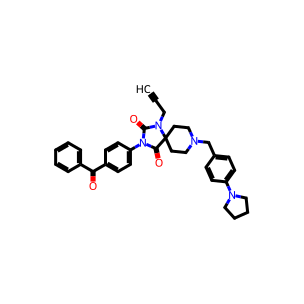 C#CCN1C(=O)N(c2ccc(C(=O)c3ccccc3)cc2)C(=O)C12CCN(Cc1ccc(N3CCCC3)cc1)CC2